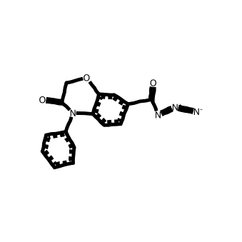 [N-]=[N+]=NC(=O)c1ccc2c(c1)OCC(=O)N2c1ccccc1